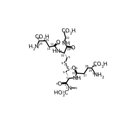 CN(C(=O)O)C(=O)[C@H](CSSC[C@H](NC(=O)CC[C@H](N)C(=O)O)C(=O)NCC(=O)O)NC(=O)CC[C@H](N)C(=O)O